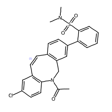 CC(=O)N1Cc2cc(-c3ccccc3S(=O)(=O)N(C)C)ccc2/C=C\c2cc(Cl)ccc21